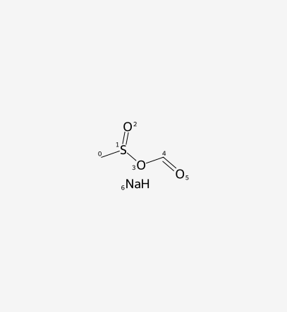 CS(=O)OC=O.[NaH]